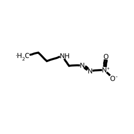 [CH2]CCNCN=N[N+](=O)[O-]